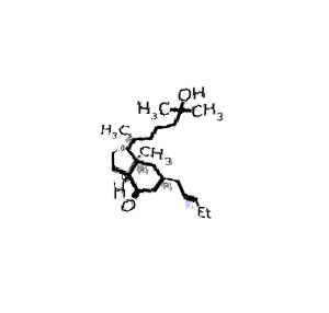 CC/C=C/C[C@H]1CC(=O)[C@@H]2CC[C@H]([C@H](C)CCCC(C)(C)O)[C@@]2(C)C1